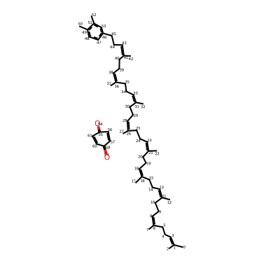 CC(C)=CCCC(C)=CCCC(C)=CCCC(C)=CCCC(C)=CCCC(C)=CCCC(C)=CCCC(C)=CCCC(C)=CCCc1ccc(C)c(C)c1.O=C1C=CC(=O)C=C1